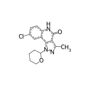 Cc1nn(C2CCCCO2)c2c1c(=O)[nH]c1ccc(Cl)cc12